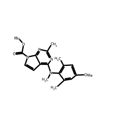 COc1cc(C)c(N(C)c2nc(C)nc3c2ccn3C(=O)OC(C)(C)C)c(C)c1